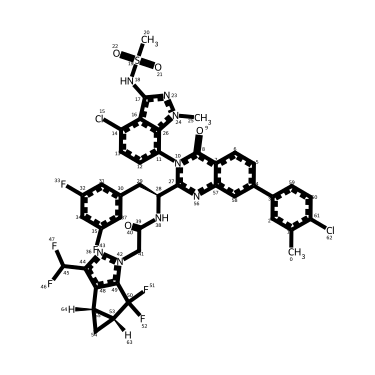 Cc1cc(-c2ccc3c(=O)n(-c4ccc(Cl)c5c(NS(C)(=O)=O)nn(C)c45)c([C@H](Cc4cc(F)cc(F)c4)NC(=O)Cn4nc(C(F)F)c5c4C(F)(F)[C@@H]4C[C@H]54)nc3c2)ccc1Cl